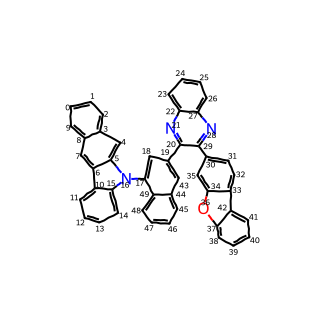 c1ccc2cc3c(cc2c1)c1ccccc1n3-c1cc(-c2nc3ccccc3nc2-c2ccc3c(c2)oc2ccccc23)cc2ccccc12